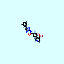 O=C1OC2(CCC(C(=O)Nc3nsc(-c4ccccc4)n3)CC2)c2cnccc21